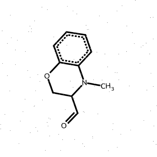 CN1c2ccccc2OCC1C=O